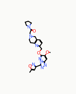 COc1cc2nnc(-c3cc(C)on3)n2nc1OCc1ccc2c(n1)CCN(CC(=O)N1CCCC1)C2